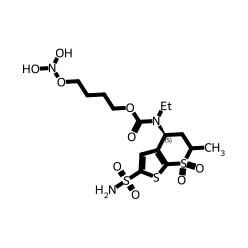 CCN(C(=O)OCCCCON(O)O)[C@H]1CC(C)S(=O)(=O)c2sc(S(N)(=O)=O)cc21